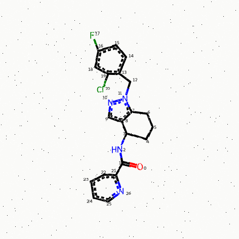 O=C(NC1CCCc2c1cnn2Cc1ccc(F)cc1Cl)c1ccccn1